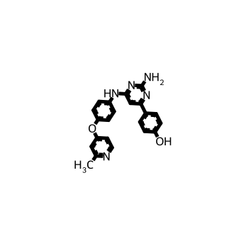 Cc1cc(Oc2ccc(Nc3cc(-c4ccc(O)cc4)nc(N)n3)cc2)ccn1